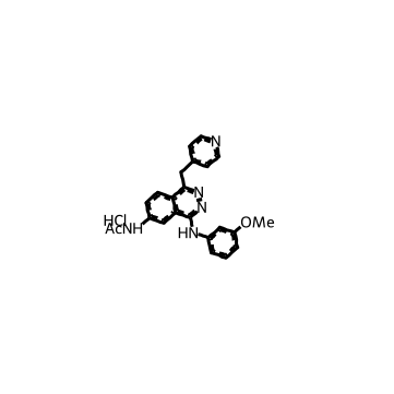 COc1cccc(Nc2nnc(Cc3ccncc3)c3ccc(NC(C)=O)cc23)c1.Cl